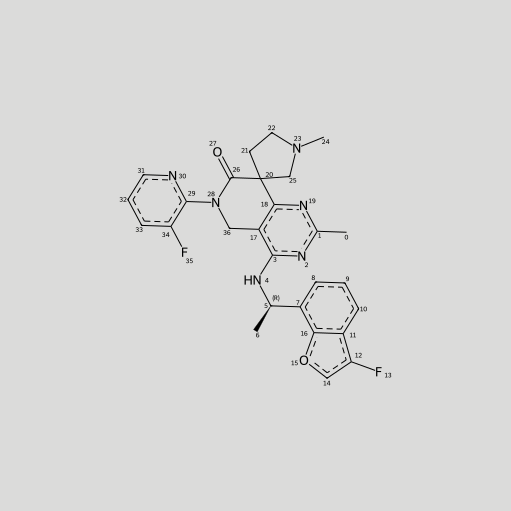 Cc1nc(N[C@H](C)c2cccc3c(F)coc23)c2c(n1)C1(CCN(C)C1)C(=O)N(c1ncccc1F)C2